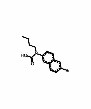 CCCCN(C(=O)O)c1ccc2cc(Br)ccc2c1